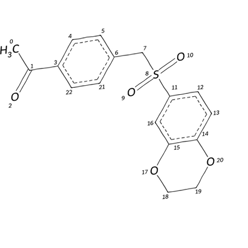 CC(=O)c1ccc(CS(=O)(=O)c2ccc3c(c2)OCCO3)cc1